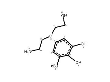 CCCCc1cccc(O)c1O.NCCOCCO